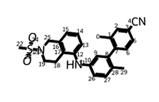 Cc1cc(C#N)ccc1-c1cc(Nc2cccc3c2CCN(S(C)(=O)=O)C3)ccc1C